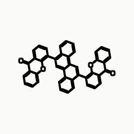 O=c1c2ccccc2oc2c(-c3cc4c5ccccc5c(-c5cccc6c(=O)c7ccccc7oc56)cc4c4ccccc34)cccc12